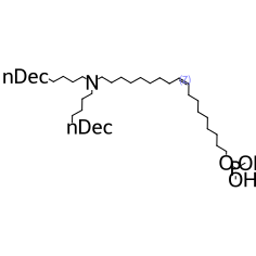 CCCCCCCCCCCCCCN(CCCCCCCC/C=C\CCCCCCCCOP(O)O)CCCCCCCCCCCCCC